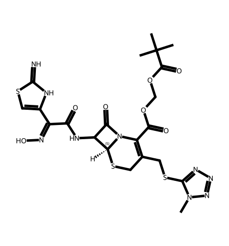 Cn1nnnc1SCC1=C(C(=O)OCOC(=O)C(C)(C)C)N2C(=O)C(NC(=O)C(=NO)c3csc(=N)[nH]3)[C@@H]2SC1